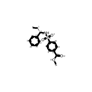 CC[C@H](NS(=O)(=O)c1ccc(C(=O)OC)cc1)c1ccccc1